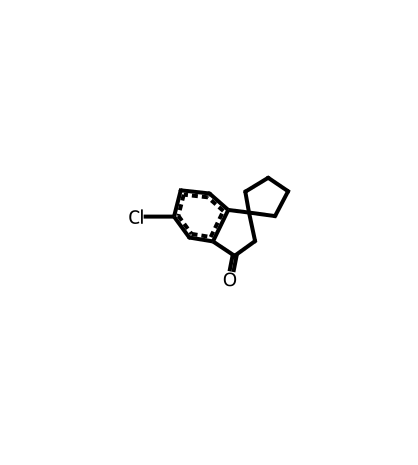 O=C1CC2(CCCC2)c2ccc(Cl)cc21